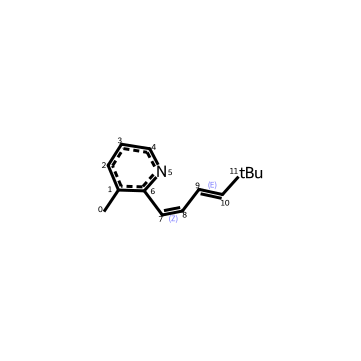 Cc1cccnc1/C=C\C=C\C(C)(C)C